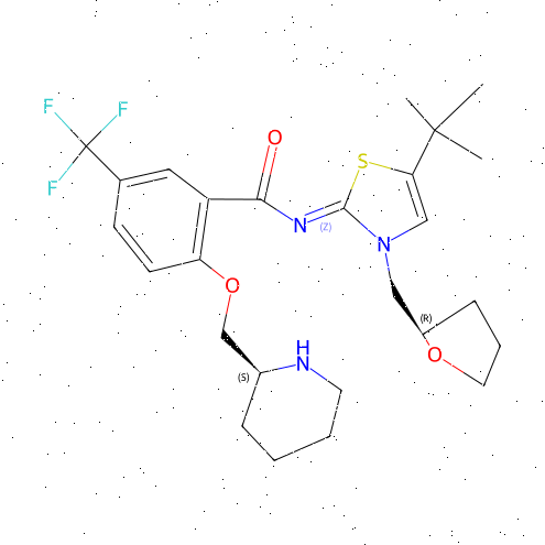 CC(C)(C)c1cn(C[C@H]2CCCO2)/c(=N/C(=O)c2cc(C(F)(F)F)ccc2OC[C@@H]2CCCCN2)s1